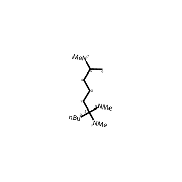 CCCCC(CCCC(C)NC)(NC)NC